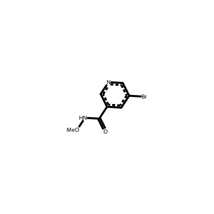 CONC(=O)c1cncc(Br)c1